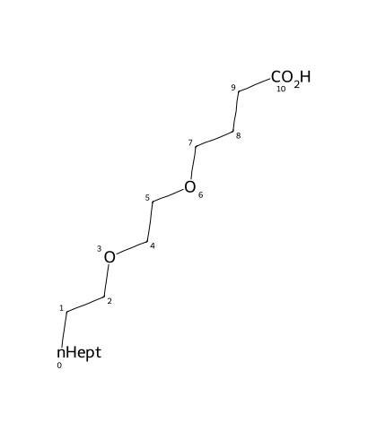 CCCCCCCCCOCCOCCCC(=O)O